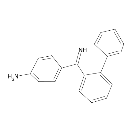 N=C(c1ccc(N)cc1)c1ccccc1-c1ccccc1